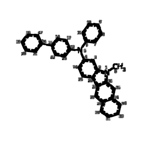 Cn1c2cc(N(c3ccccc3)c3ccc(-c4ccccc4)cc3)ccc2c2cc3ccccc3cc21